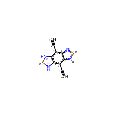 C#Cc1c2c(c(C#C)c3nsnc13)NSN2